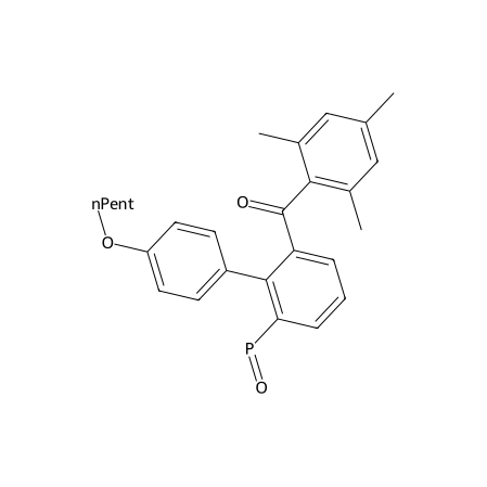 CCCCCOc1ccc(-c2c(P=O)cccc2C(=O)c2c(C)cc(C)cc2C)cc1